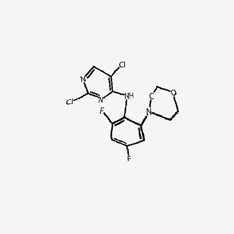 Fc1cc(F)c(Nc2nc(Cl)ncc2Cl)c(N2CCOCC2)c1